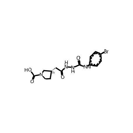 O=C(C[C@@H]1CCN(C(=O)O)C1)NNC(=O)Nc1ccc(Br)cc1